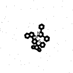 c1ccc(-c2cc(-c3ccccc3)nc(-n3c4ccc5ccccc5c4c4ccc5c(c43)Sc3ccccc3C53c4ccccc4-c4ccccc43)c2)cc1